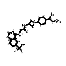 CCC(O)C1CCC(N2CC(NC(=O)CNc3ncnc4ccc(C(F)(F)F)cc34)C2)CC1